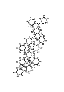 c1ccc(-n2c3ccccc3c3cc4c(cc32)c2ccccc2n4-c2cccc([Si](c3ccccc3)(c3ccccc3)c3ccc([Si](c4ccccc4)(c4ccccc4)c4cccc5c4sc4ccccc45)cc3)c2)cc1